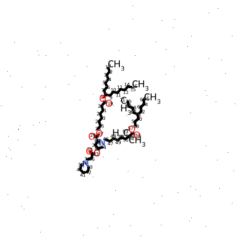 CCCCCCCCC(CCCCCCCC)OC(=O)CCCCCCCOC(=O)[C@@H]1C[C@H](OC(=O)CCN2CCCCC2)CN1CCCCCCC(C)(C)C(=O)OCCCC(CCCCC)CCCCC